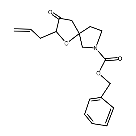 C=CCC1OC2(CCN(C(=O)OCc3ccccc3)C2)CC1=O